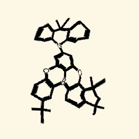 CC(C)(C)c1ccc2c(c1)B1c3ccc4c(c3Oc3cc(N5c6ccccc6C(C)(C)c6ccccc65)cc(c31)O2)C(C)(C)CC4(C)C